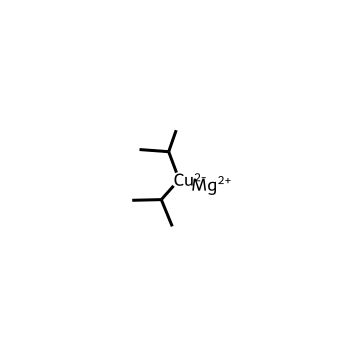 C[CH](C)[Cu-2][CH](C)C.[Mg+2]